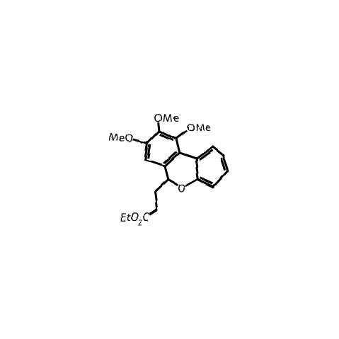 CCOC(=O)CCC1Oc2ccccc2-c2c1cc(OC)c(OC)c2OC